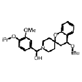 COc1cc(C(O)N2CCC3(CC2)CC(OC(C)(C)C)c2ccccc2O3)ccc1OC(C)C